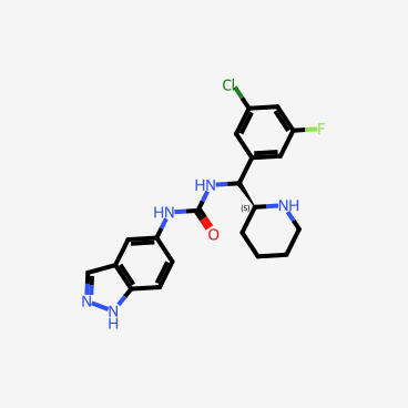 O=C(Nc1ccc2[nH]ncc2c1)NC(c1cc(F)cc(Cl)c1)[C@@H]1CCCCN1